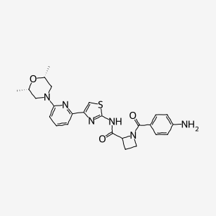 C[C@@H]1CN(c2cccc(-c3csc(NC(=O)C4CCN4C(=O)c4ccc(N)cc4)n3)n2)C[C@H](C)O1